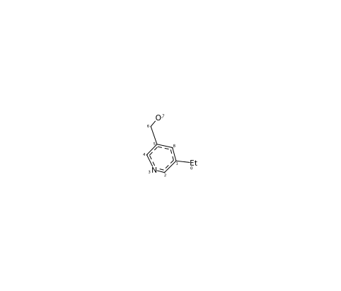 CCc1cncc(C[O])c1